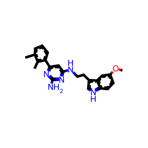 COc1ccc2[nH]cc(CCNc3cc(-c4cccc(C)c4C)nc(N)n3)c2c1